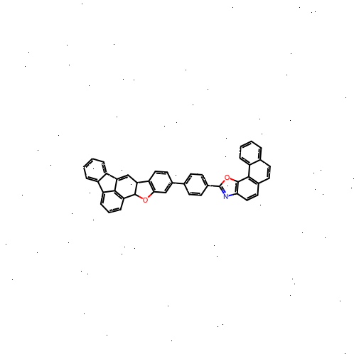 C1=C2c3ccccc3-c3cccc(c32)C2Oc3cc(-c4ccc(-c5nc6ccc7ccc8ccccc8c7c6o5)cc4)ccc3C12